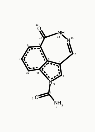 NC(=O)n1cc2c3c(c[c]cc31)C(=O)NN=C2